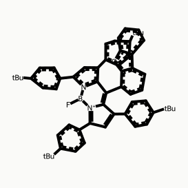 CC(C)(C)c1ccc(C2=CC(c3ccc(C(C)(C)C)cc3)=[N+]3B(F)n4c(-c5ccc(C(C)(C)C)cc5)cc(-c5ccc(C(C)(C)C)cc5)c4C(c4cccc5c4oc4ccccc45)=C23)cc1